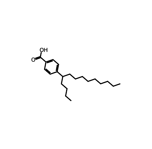 CCCCCCCCCC(CCCC)c1ccc(C(=O)O)cc1